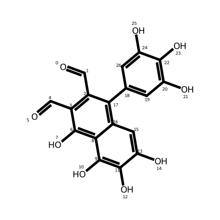 O=Cc1c(C=O)c(O)c2c(O)c(O)c(O)cc2c1-c1cc(O)c(O)c(O)c1